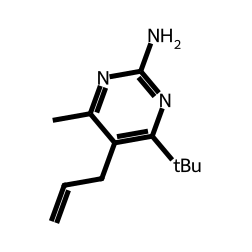 C=CCc1c(C)nc(N)nc1C(C)(C)C